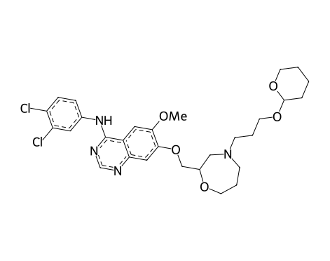 COc1cc2c(Nc3ccc(Cl)c(Cl)c3)ncnc2cc1OCC1CN(CCCOC2CCCCO2)CCCO1